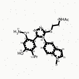 CC(=O)NCCSc1nnc(-c2cc(C(C)C)c(O)cc2ON)n1-c1ccc2c(ccn2C)c1